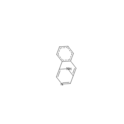 C1=NC=C2NC1=Cc1ccccc12